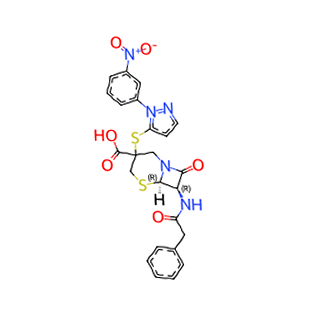 O=C(Cc1ccccc1)N[C@@H]1C(=O)N2CC(Sc3ccnn3-c3cccc([N+](=O)[O-])c3)(C(=O)O)CS[C@H]12